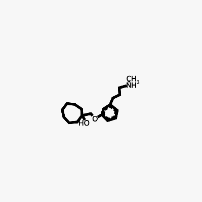 CNCCCc1cccc(OCC2(O)CCCCCCC2)c1